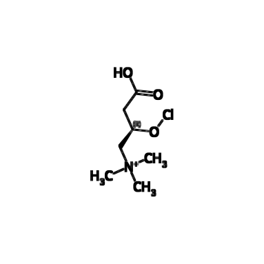 C[N+](C)(C)C[C@@H](CC(=O)O)OCl